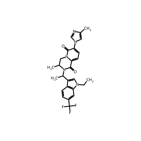 CCn1cc(C(C)N2C(=O)c3ccc(-n4cnc(C)c4)c(=O)n3CC2C)c2ccc(C(F)(F)F)cc21